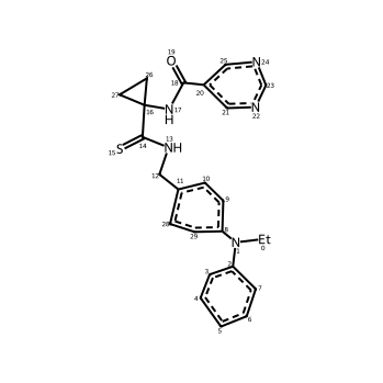 CCN(c1ccccc1)c1ccc(CNC(=S)C2(NC(=O)c3cncnc3)CC2)cc1